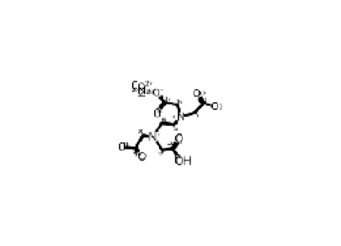 O=C([O-])CN(CCN(CC(=O)[O-])CC(=O)O)CC(=O)[O-].[Co+2].[Na+]